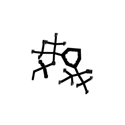 CCS(=O)(=O)OC(c1cccc(C(O)(C(F)(F)F)C(F)(F)F)c1)(C(F)(F)F)C(F)(F)F